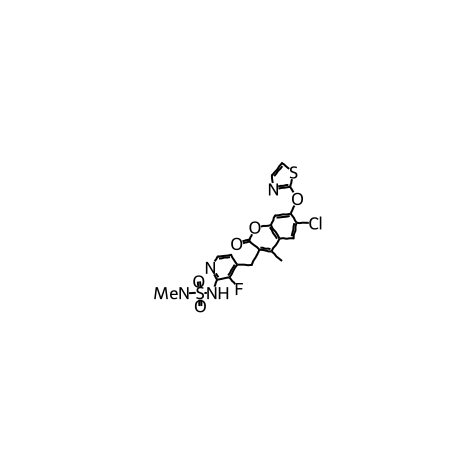 CNS(=O)(=O)Nc1nccc(Cc2c(C)c3cc(Cl)c(Oc4nccs4)cc3oc2=O)c1F